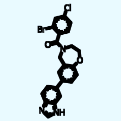 O=C(c1ccc(Cl)cc1Br)N1CCOc2ccc(-c3ccc4nc[nH]c4c3)cc2C1